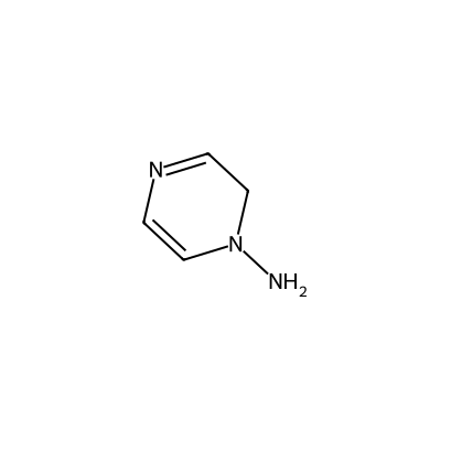 NN1C=CN=CC1